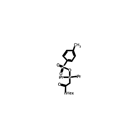 CCCCCCC(=O)CS(OS(=O)(=O)c1ccc(C)cc1)(C(C)C)C(C)C